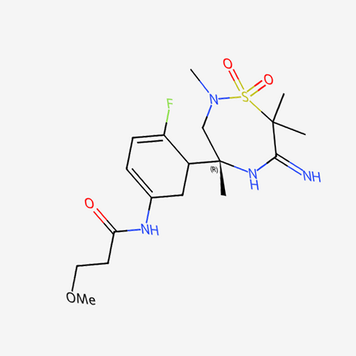 COCCC(=O)NC1=CC=C(F)C([C@]2(C)CN(C)S(=O)(=O)C(C)(C)C(=N)N2)C1